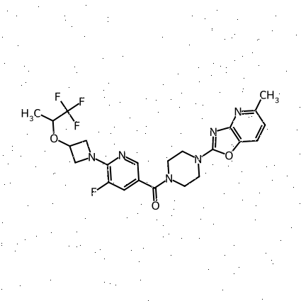 Cc1ccc2oc(N3CCN(C(=O)c4cnc(N5CC(OC(C)C(F)(F)F)C5)c(F)c4)CC3)nc2n1